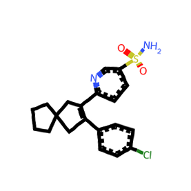 NS(=O)(=O)c1ccc(C2=C(c3ccc(Cl)cc3)CC3(CCCC3)C2)nc1